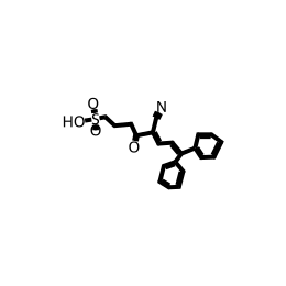 N#C/C(=C\C=C(c1ccccc1)c1ccccc1)C(=O)CCCS(=O)(=O)O